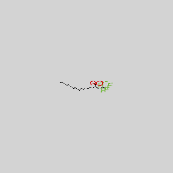 CCCCCCCCCCCCCC(=CC(F)(F)C(F)(F)F)C(=O)OC